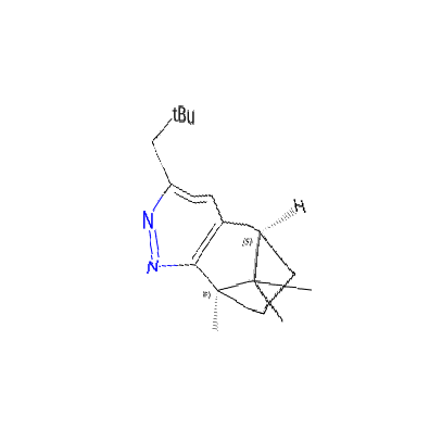 CC(C)(C)Cc1cc2c(nn1)[C@]1(C)CC[C@H]2C1(C)C